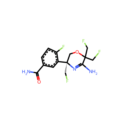 NC(=O)c1ccc(F)c([C@@]2(CF)COC(CF)(CF)C(N)=N2)c1